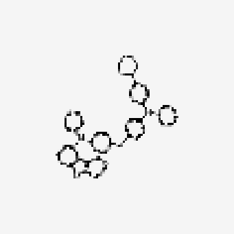 c1ccc(N(c2ccc(Cc3ccc(N(c4ccccc4)c4cccc5oc6ccccc6c45)cc3)cc2)c2ccc(C3CCCCC3)cc2)cc1